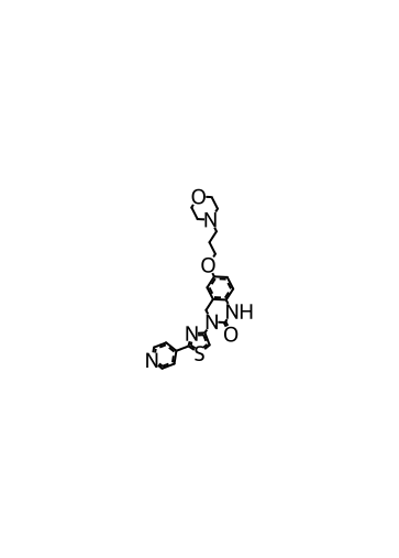 O=C1Nc2ccc(OCCCN3CCOCC3)cc2CN1c1csc(-c2ccncc2)n1